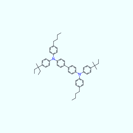 CCCCc1ccc(N(c2ccc(-c3ccc(N(c4ccc(CCCC)cc4)c4ccc(C(C)(CC)CC)cc4)cc3)cc2)c2ccc(C(C)(C)CC)cc2)cc1